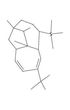 CC1C2(C)CCC(S(C)(C)C)C3C=C(C(C)(C)C)C=CC(C2)C31C